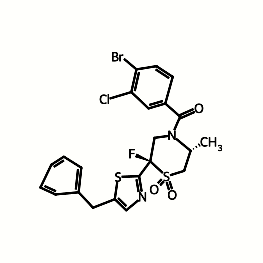 C[C@@H]1CS(=O)(=O)[C@](F)(c2ncc(Cc3ccccc3)s2)CN1C(=O)c1ccc(Br)c(Cl)c1